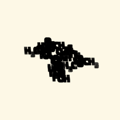 CCS(=O)(=O)Nc1cc(-c2cc(NC(=O)c3csc(CN4C[C@@H](C)O[C@@H](C)C4)n3)c3cn[nH]c3c2)cnc1OC.O=C(O)C(F)(F)F